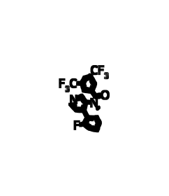 CN(C(=O)c1cc(C(F)(F)F)cc(C(F)(F)F)c1)c1cnccc1-c1ccccc1F